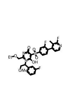 CCOCc1nc(=O)c(S(=O)(=O)c2ccc(-c3ccnc(F)c3C)c(F)c2)c(O)n1C(COC)c1cccc(F)c1